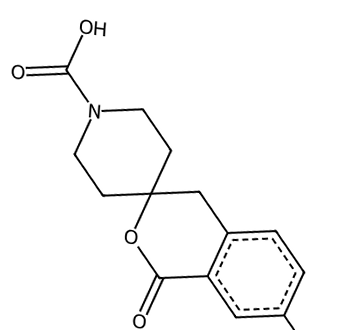 O=C1OC2(CCN(C(=O)O)CC2)Cc2ccc(I)cc21